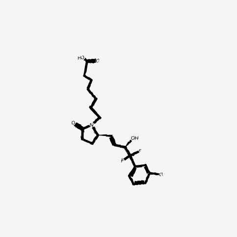 O=C(O)CCCCCCN1C(=O)CC[C@@H]1C=C[C@@H](O)C(F)(F)c1cccc(Cl)c1